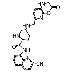 N#Cc1ccc2cccc(NC(=O)C3CCC(NCc4ccc5c(n4)OC(=O)CN5)CN3)c2n1